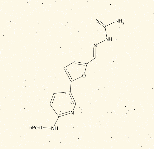 CCCCCNc1ccc(-c2ccc(/C=N/NC(N)=S)o2)cn1